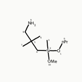 CCCO[Si](C)(CC(C)(C)CN)OC